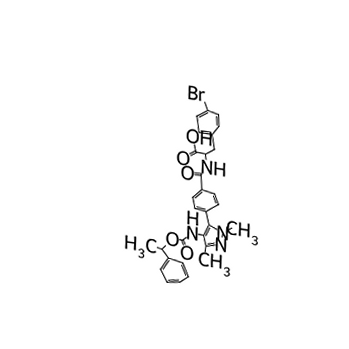 Cc1nn(C)c(-c2ccc(C(=O)NC(Cc3ccc(Br)cc3)C(=O)O)cc2)c1NC(=O)OC(C)c1ccccc1